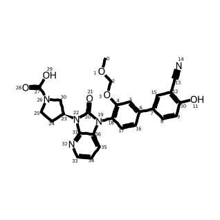 COCOc1cc(-c2ccc(O)c(C#N)c2)ccc1-n1c(=O)n([C@H]2CCN(C(=O)O)C2)c2ncccc21